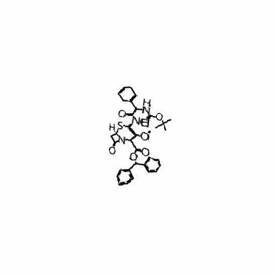 COC1=C(NC(=O)C(NC(=O)OC(C)(C)C)C2=CCC=CC2)S[C@@H]2CC(=O)N2C1C(=O)OC(c1ccccc1)c1ccccc1